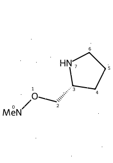 CNOC[C@H]1CCCN1